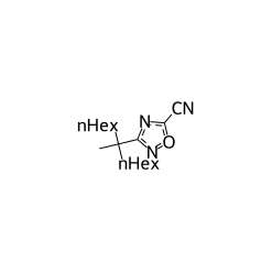 CCCCCCC(C)(CCCCCC)c1noc(C#N)n1